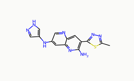 Cc1nnc(-c2cc3ncc(Nc4cn[nH]c4)cc3nc2N)s1